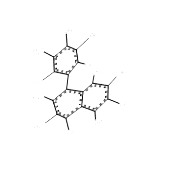 Cc1c(C)c(-c2c(C)c(C)c(O)c3c(O)c(O)c(O)c(O)c23)c(O)c(O)c1O